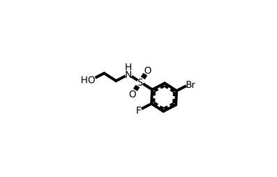 O=S(=O)(NCCO)c1cc(Br)ccc1F